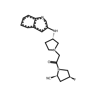 N#C[C@@H]1C[C@H](F)CN1C(=O)CN1CC[C@H](Nc2cnc3ccccc3c2)C1